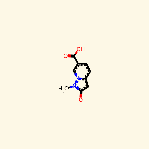 Cn1c(=O)cc2ccc(C(=O)O)cn21